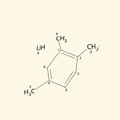 [CH2]c1ccc(C)cc1C.[LiH]